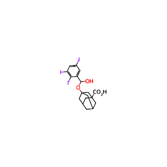 O=C(O)C12CC3CC(CC(OC(O)c4cc(I)cc(I)c4I)(C3)C1)C2